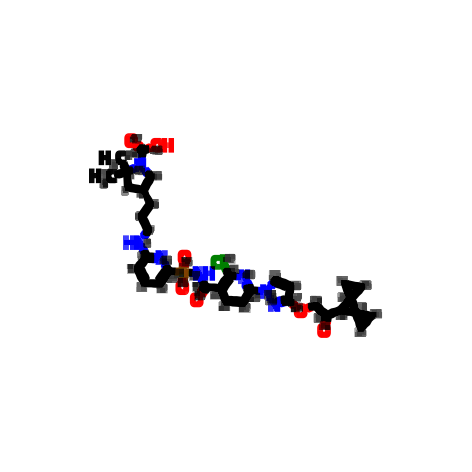 CC1(C)C[C@H](CCCNc2cccc(S(=O)(=O)NC(=O)c3ccc(-n4ccc(OCC(=O)C5C6(CC6)C56CC6)n4)nc3Cl)n2)CN1C(=O)O